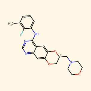 Cc1cccc(Nc2ncnc3cc4c(cc23)O[C@@H](CN2CCOCC2)CO4)c1F